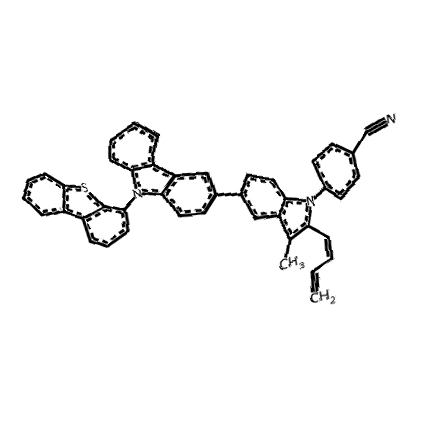 C=C/C=C\c1c(C)c2cc(-c3ccc4c(c3)c3ccccc3n4-c3cccc4c3sc3ccccc34)ccc2n1-c1ccc(C#N)cc1